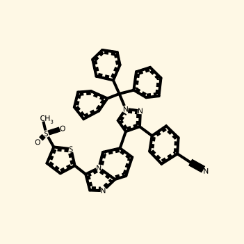 CS(=O)(=O)c1ccc(-c2cnc3ccc(-c4cn(C(c5ccccc5)(c5ccccc5)c5ccccc5)nc4-c4ccc(C#N)cc4)cn23)s1